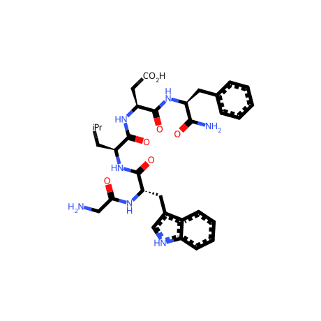 CC(C)C[C@H](NC(=O)[C@H](Cc1c[nH]c2ccccc12)NC(=O)CN)C(=O)N[C@@H](CC(=O)O)C(=O)N[C@@H](Cc1ccccc1)C(N)=O